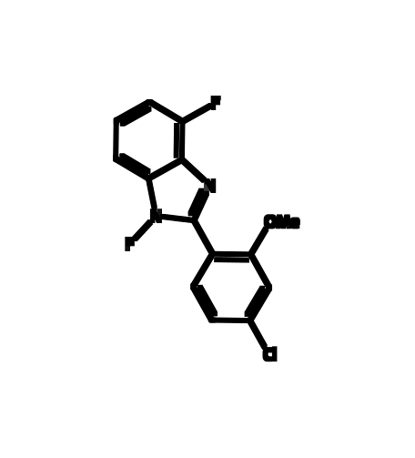 COc1cc(Cl)ccc1-c1nc2c(F)cccc2n1F